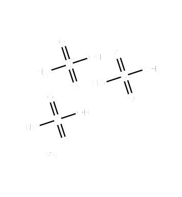 O=S(=O)(O)O.O=S(=O)(O)O.O=S(=O)(O)O.[As]